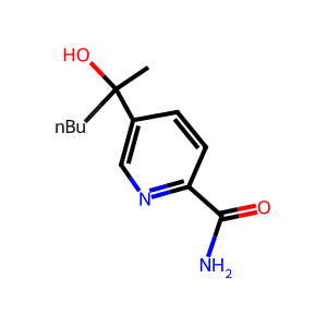 CCCCC(C)(O)c1ccc(C(N)=O)nc1